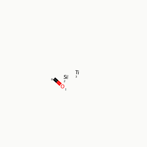 C=O.[Si].[Ti]